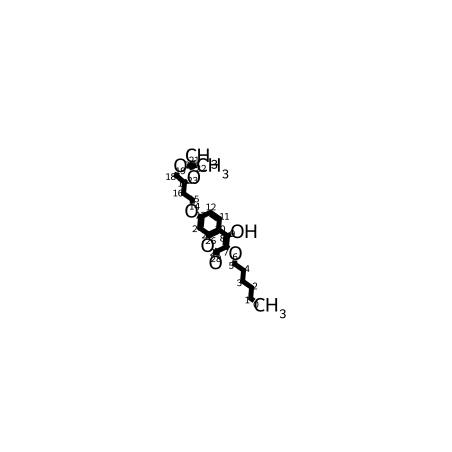 CCCCCCOc1c(O)c2ccc(OCCC3COC(C)(C)O3)cc2oc1=O